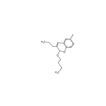 CCCCOC1Oc2ccc(I)cc2C=C1CCC